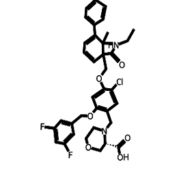 CCNC(=O)C1(COc2cc(OCc3cc(F)cc(F)c3)c(CN3CCOC[C@H]3C(=O)O)cc2Cl)C=CC=C(c2ccccc2)C1(C)C